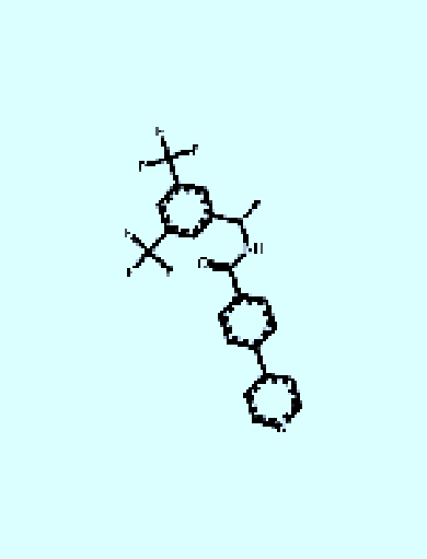 C[C@@H](NC(=O)c1ccc(-c2ccncc2)cc1)c1cc(C(F)(F)F)cc(C(F)(F)F)c1